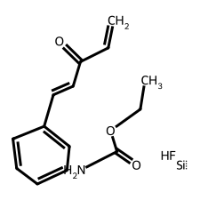 C=CC(=O)C=Cc1ccccc1.CCOC(N)=O.F.[Si]